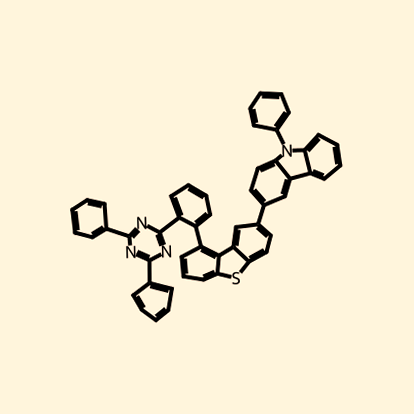 c1ccc(-c2nc(-c3ccccc3)nc(-c3ccccc3-c3cccc4sc5ccc(-c6ccc7c(c6)c6ccccc6n7-c6ccccc6)cc5c34)n2)cc1